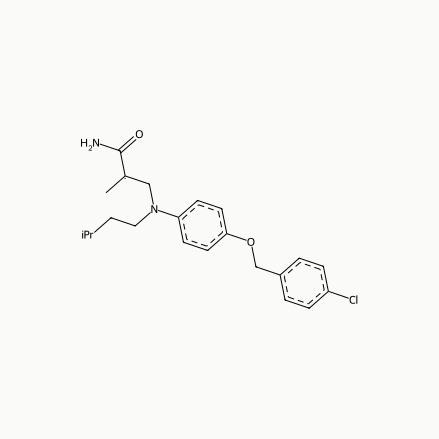 C[C](CN(CCC(C)C)c1ccc(OCc2ccc(Cl)cc2)cc1)C(N)=O